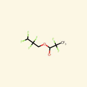 [O]C(OCC(F)(F)C(F)F)C(F)(F)C(F)(F)F